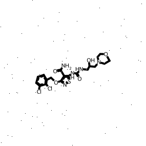 NC(=O)c1c(OCc2cccc(Cl)c2Cl)nsc1NC(=O)NCC(O)CN1CCOCC1